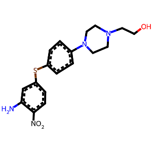 Nc1cc(Sc2ccc(N3CCN(CCO)CC3)cc2)ccc1[N+](=O)[O-]